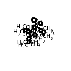 Cc1cc2c3c(c1)N(c1cc4c(cc1C)C(C)(C)CC4(C)C)c1cc(N(c4ccccc4)c4ccccc4)ccc1B3c1cc3c(cc1N2c1ccc2c(c1)C(C)(C)CC2(C)C)C(C)(C)CC3(C)C